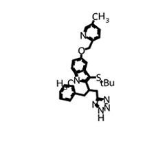 Cc1ccc(COc2ccc3c(c2)c(SC(C)(C)C)c(C(Cc2ccccc2)Cc2nn[nH]n2)n3C)nc1